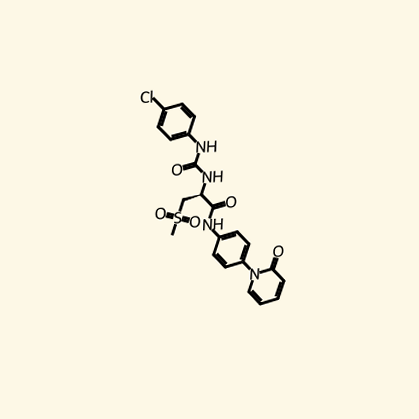 CS(=O)(=O)C[C@@H](NC(=O)Nc1ccc(Cl)cc1)C(=O)Nc1ccc(-n2ccccc2=O)cc1